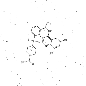 C[C@@H](Nc1ncnc2c(O)cc(Br)cc12)c1cccc(C(F)(F)C2CCN(C(=O)O)CC2)c1